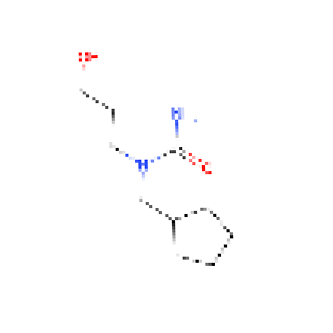 NC(=O)N(CCCO)CC1CCCC1